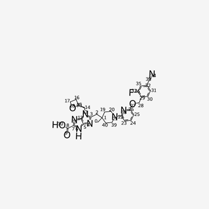 CC1(Cc2nc3[nH]c(C(=O)O)nc3n2C[C@@H]2CCO2)CCN(c2cccc(OCc3ccc(C#N)cc3F)n2)CC1